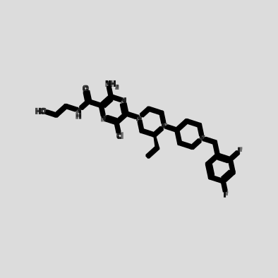 CC[C@H]1CN(c2nc(N)c(C(=O)NCCO)nc2Cl)CCN1C1CCN(Cc2ccc(F)cc2F)CC1